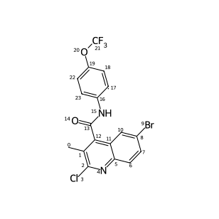 Cc1c(Cl)nc2ccc(Br)cc2c1C(=O)Nc1[c]cc(OC(F)(F)F)cc1